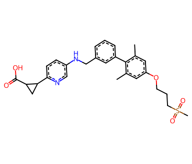 Cc1cc(OCCCS(C)(=O)=O)cc(C)c1-c1cccc(CNc2ccc(C3CC3C(=O)O)nc2)c1